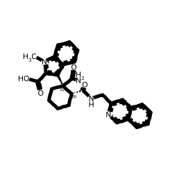 Cn1c(C(=O)O)c([C@]2(C(N)=O)CCCC[C@H]2C(=O)NCc2cc3ccccc3cn2)c2ccccc21